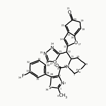 Cc1nc(C(=O)N2CCCCC2C(c2cc3c(o2)=CCC(=O)C=3)c2nnco2)c(-c2cccc(F)c2)s1